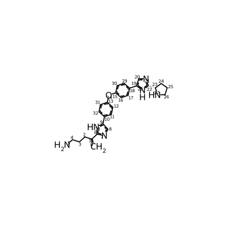 C=C(CCCN)c1ncc(-c2ccc(Oc3ccc(-c4cnc([C@@H]5CCCN5)[nH]4)cc3)cc2)[nH]1